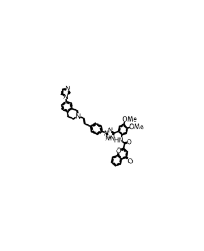 COc1cc(NC(=O)c2cc(=O)c3ccccc3o2)c(-c2nnn(-c3ccc(CCN4CCc5ccc(-n6ccnc6)cc5C4)cc3)n2)cc1OC